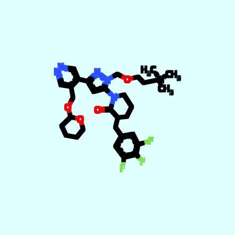 C[Si](C)(C)CCOCn1nc(-c2cnncc2COC2CCCCO2)cc1N1CCCC(Cc2cc(F)c(F)c(F)c2)C1=O